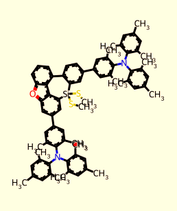 CS[Si]1(SC)c2cc(-c3cc(C)c(N(c4c(C)cc(C)cc4C)c4c(C)cc(C)cc4C)c(C)c3)ccc2-c2cccc3oc4cc(-c5cc(C)c(N(c6c(C)cc(C)cc6C)c6c(C)cc(C)cc6C)c(C)c5)cc1c4c23